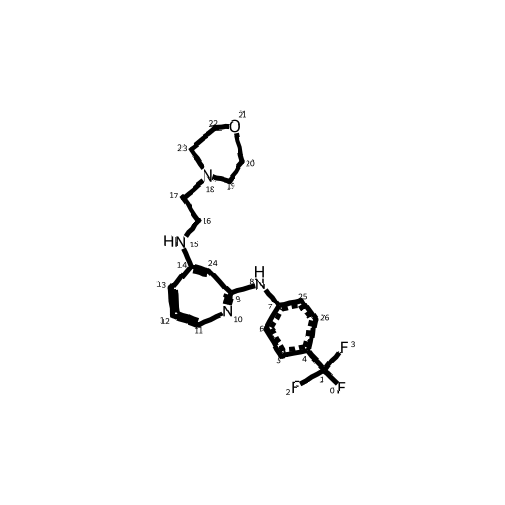 FC(F)(F)c1ccc(NC2=NC=C=CC(NCCN3CCOCC3)=C2)cc1